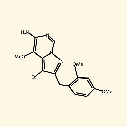 CCc1c(Cc2ccc(OC)cc2OC)nn2cnc(N)c(OC)c12